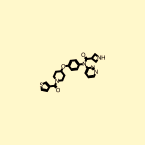 O=C(c1ccsc1)N1CCC(Oc2ccc(N(C(=O)C3CNC3)c3cccnn3)cc2)CC1